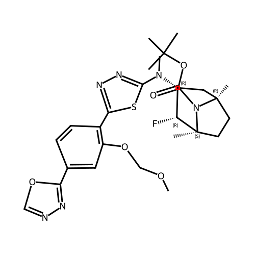 COCOc1cc(-c2nnco2)ccc1-c1nnc(N(C)[C@@H]2C[C@@]3(C)CC[C@@](C)([C@@H]2F)N3C(=O)OC(C)(C)C)s1